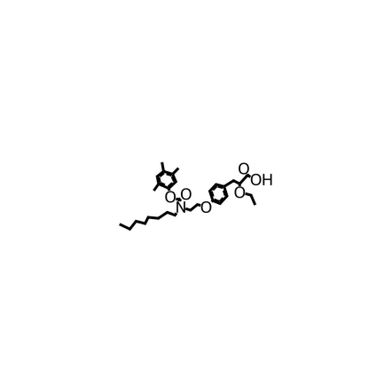 CCCCCCCCN(CCOc1ccc(CC(OCC)C(=O)O)cc1)C(=O)Oc1cc(C)c(C)cc1C